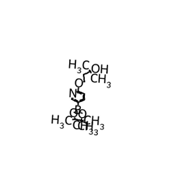 CC(C)(O)CCOc1ccc(B2OC(C)(C)C(C)(C)O2)cn1